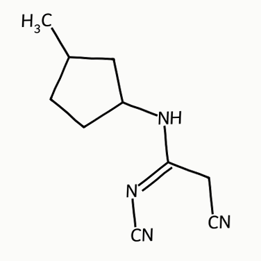 CC1CCC(NC(CC#N)=NC#N)C1